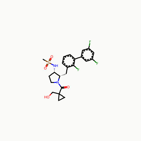 CS(=O)(=O)N[C@H]1CCN(C(=O)C2(CO)CC2)[C@H]1Cc1cccc(-c2cc(F)cc(F)c2)c1F